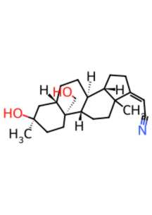 CC12CC[C@H]3[C@@H](CC[C@H]4C[C@](C)(O)CC[C@@]43CO)[C@@H]1CC/C2=C/C#N